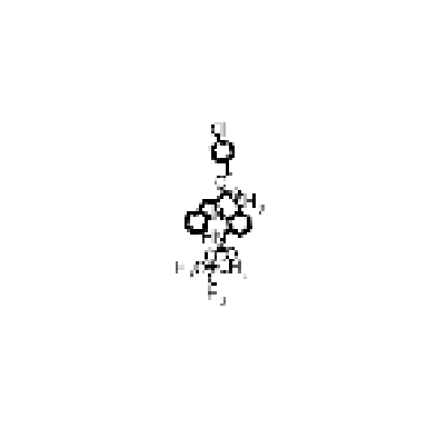 Cc1cccc(NC(=O)OC(C)(C)C)c1-n1c(C(=O)OCc2ccc(Cl)cc2)cc2ccccc21